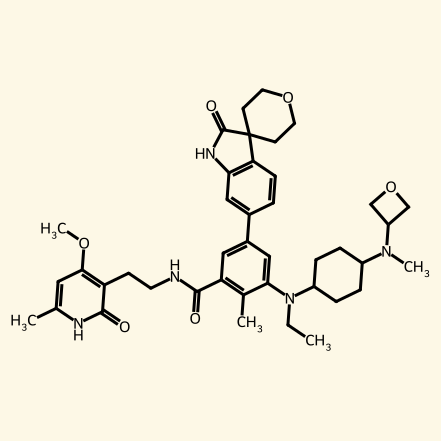 CCN(c1cc(-c2ccc3c(c2)NC(=O)C32CCOCC2)cc(C(=O)NCCc2c(OC)cc(C)[nH]c2=O)c1C)C1CCC(N(C)C2COC2)CC1